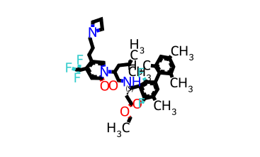 CCOC(=O)C[C@H](NC(=O)C(CC(C)C)n1cc(CCCN2CCC2)c(C(F)(F)F)cc1=O)c1c(F)c(C)cc(-c2c(C)cc(C)cc2C)c1F